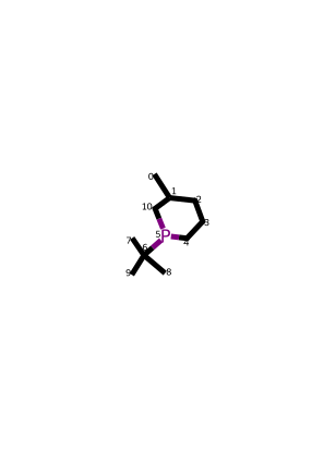 CC1CCCP(C(C)(C)C)C1